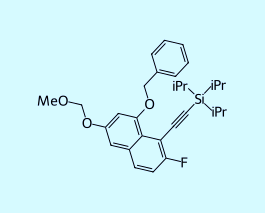 COCOc1cc(OCc2ccccc2)c2c(C#C[Si](C(C)C)(C(C)C)C(C)C)c(F)ccc2c1